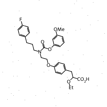 CCOC(Cc1ccc(OCCN(CCCc2ccc(F)cc2)C(=O)Oc2cccc(OC)c2)cc1)C(=O)O